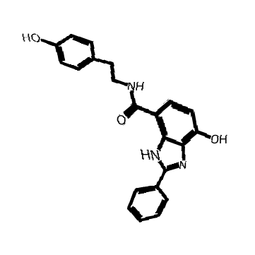 O=C(NCCc1ccc(O)cc1)c1ccc(O)c2nc(-c3ccccc3)[nH]c12